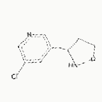 Clc1cncc(C2CCON2)c1